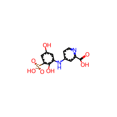 O=C(O)c1cc(Nc2cc(O)cc(S(=O)(=O)O)c2O)ccn1